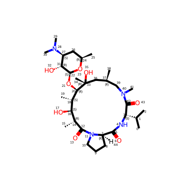 CC(C)[C@@H]1NC(=O)[C@H]2CCCN2C(=O)[C@H](C)[C@@H](O)[C@H](C)[C@@H](O[C@@H]2O[C@H](C)C[C@H](N(C)C)[C@H]2O)[C@](C)(O)C[C@@H](C)CN(C)C1=O